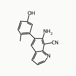 Cc1ccc(O)cc1-c1cc2cccnc2c(C#N)c1N